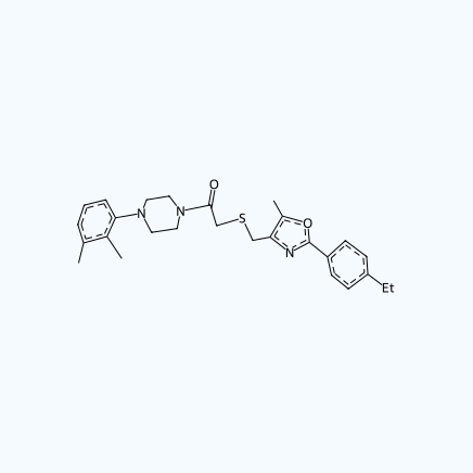 CCc1ccc(-c2nc(CSCC(=O)N3CCN(c4cccc(C)c4C)CC3)c(C)o2)cc1